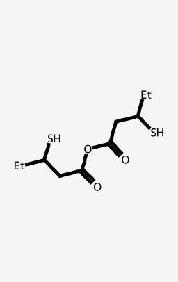 CCC(S)CC(=O)OC(=O)CC(S)CC